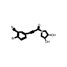 N#Cc1cc(C#CC(=O)N2C[C@@H](O)[C@@H](O)C2)ccc1Br